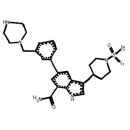 CCS(=O)(=O)N1CCC(c2c[nH]c3c(C(N)=O)cc(-c4cccc(CN5CCNCC5)c4)cc23)CC1